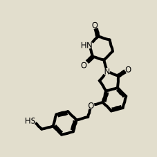 O=C1CCC(N2Cc3c(OCc4ccc(CS)cc4)cccc3C2=O)C(=O)N1